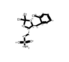 CCC1(CC)O[C@@H](COS(N)(=O)=O)[C@H](Cc2ccccc2Cl)O1